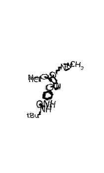 COc1cc2c(Oc3ccc(NC(=O)NCCC(C)(C)C)cc3)ccnc2cc1OCCCCN1CCN(C)CC1.Cl